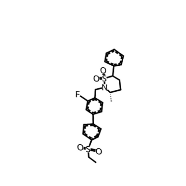 CCS(=O)(=O)c1ccc(-c2ccc(CN3[C@@H](C)CCC(c4ccccc4)S3(=O)=O)c(F)c2)cc1